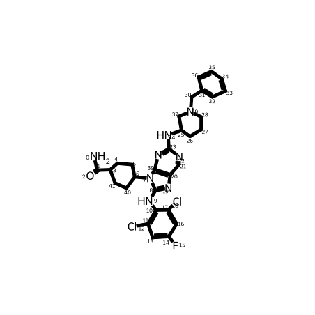 NC(=O)C1CCC(n2c(Nc3c(Cl)cc(F)cc3Cl)nc3cnc(NC4CCCN(Cc5ccccc5)C4)nc32)CC1